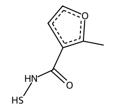 Cc1occc1C(=O)NS